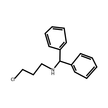 ClCCCNC(c1ccccc1)c1ccccc1